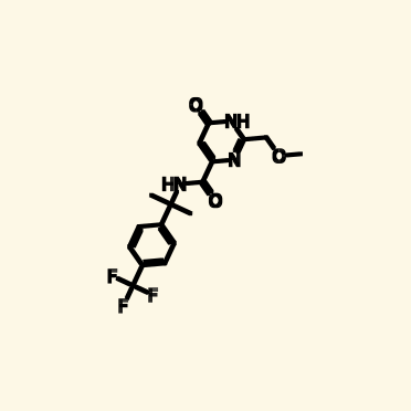 COCc1nc(C(=O)NC(C)(C)c2ccc(C(F)(F)F)cc2)cc(=O)[nH]1